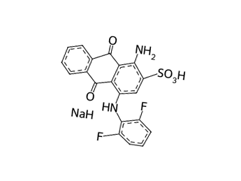 Nc1c(S(=O)(=O)O)cc(Nc2c(F)cccc2F)c2c1C(=O)c1ccccc1C2=O.[NaH]